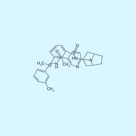 COc1cccc(C(=O)NC2CC3CCC(C2)N3c2ccc(C(=O)NCc3cccc(C)c3)cn2)c1C